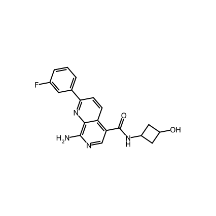 Nc1ncc(C(=O)NC2CC(O)C2)c2ccc(-c3cccc(F)c3)nc12